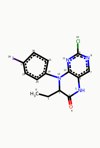 CCC1C(=O)Nc2cnc(Cl)nc2N1c1ccc(I)cc1